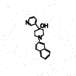 OC1(c2cccnc2)CCN(c2ccc3ccccc3c2)CC1